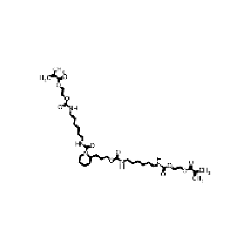 C=C(C)C(=O)OCCOC(=O)NCCCCCCNC(=O)OCCCC1CCCCN1C(=O)NCCCCCCNC(=O)OCCOC(=O)C(=C)C